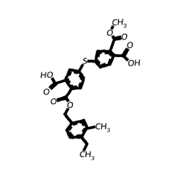 CCc1ccc(COC(=O)c2ccc(Sc3ccc(C(=O)O)c(C(=O)OC)c3)cc2C(=O)O)cc1C